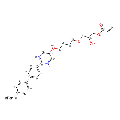 C=CC(=O)OCC(O)COCCCCOc1cnc(-c2ccc(-c3ccc(CCCCC)cc3)cc2)nc1